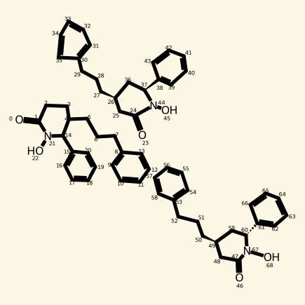 O=C1CCC(CCCc2ccccc2)C(c2ccccc2)N1O.O=C1C[C@@H](CCCc2ccccc2)C[C@@H](c2ccccc2)N1O.O=C1C[C@@H](CCCc2ccccc2)C[C@H](c2ccccc2)N1O